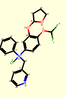 FC(F)Oc1ccc([N+](Cl)(Cc2cccnc2)c2ccccc2)cc1OC1CCCO1